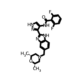 C[C@@H]1CN(Cc2ccc3[nH]c(-c4n[nH]cc4NC(=O)c4c(F)cccc4F)nc3c2)C[C@H](C)O1